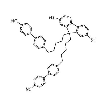 N#Cc1ccc(-c2ccc(CCCCCC3(CCCCCc4ccc(-c5ccc(C#N)cc5)cc4)c4cc(S)ccc4-c4ccc(S)cc43)cc2)cc1